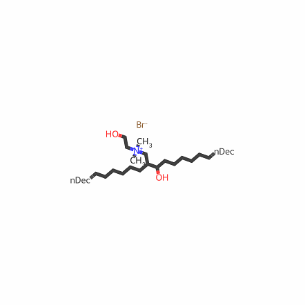 CCCCCCCCCCCCCCCCC(O)C(CCCCCCCCCCCCCCCC)C[N+](C)(C)CCO.[Br-]